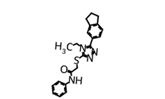 CCn1c(SCC(=O)Nc2ccccc2)nnc1-c1ccc2c(c1)CCC2